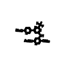 COc1ccc(-c2cc(Nc3cc(NC(C)=O)ncc3OC)nc(C(C)(F)F)n2)cn1